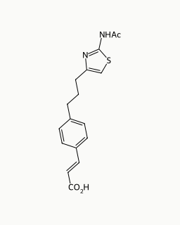 CC(=O)Nc1nc(CCCc2ccc(C=CC(=O)O)cc2)cs1